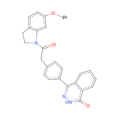 CC(C)Oc1ccc2c(c1)N(C(=O)Cc1ccc(-c3n[nH]c(=O)c4ccccc34)cc1)CC2